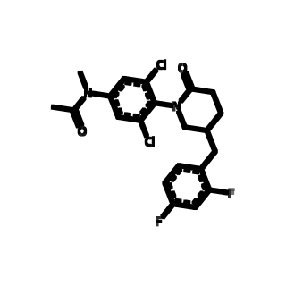 CC(=O)N(C)c1cc(Cl)c(N2CC(Cc3ccc(F)cc3F)CCC2=O)c(Cl)c1